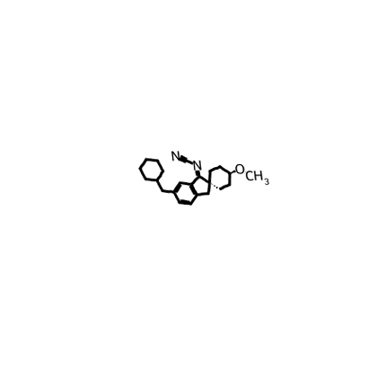 CO[C@H]1CC[C@]2(CC1)Cc1ccc(CC3CCCCC3)cc1/C2=N\C#N